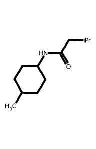 CC(C)CC(=O)NC1CCC(C)CC1